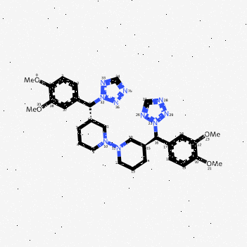 COc1ccc(C([C@H]2CCCN(N3CCC[C@H](C(c4ccc(OC)c(OC)c4)n4ncnn4)C3)C2)n2ncnn2)cc1OC